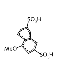 COc1cc(S(=O)(=O)O)cc2cc(S(=O)(=O)O)ccc12